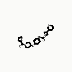 O=C(Nc1ccc(OC2CCN(C(=O)c3ccco3)CC2)cc1)N1CC(c2cccnc2)C1